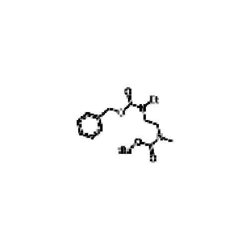 CCN(CCN(C)C(=O)OC(C)(C)C)C(=O)OCc1ccccc1